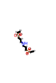 C=CS(=O)(=O)C=CCNCC=CS(=O)(=O)C=C